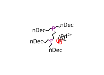 CC(=O)[O-].CC(=O)[O-].CCCCCCCCCCCCP(CCCCCCCCCCCC)CCCP(CCCCCCCCCCCC)CCCCCCCCCCCC.[Pd+2]